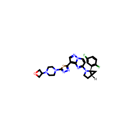 Fc1ccc(F)c([C@@]23C[C@@H]2CCN3c2ccn3ncc(-c4nnc(N5CCN(C6COC6)CC5)s4)c3n2)c1